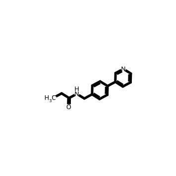 CCC(=O)NCc1ccc(-c2cccnc2)cc1